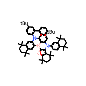 CC(C)(C)c1ccc(N2c3cc4c(cc3B3c5oc6c(c5N(c5ccc7c(c5)C(C)(C)CCC7(C)C)c5cc(C(C)(C)C)cc2c53)C(C)(C)CCC6(C)C)C(C)(C)CCC4(C)C)c(-c2ccccc2)c1